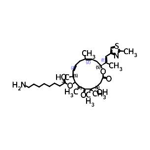 C/C1=C/C[C@@H](/C(C)=C/c2csc(C)n2)OC(=O)C[C@H](O)C(C)(C)C(=O)[C@H](C)C(OC(=O)CCCCCCCN)[C@@H](C)/C=C\C1